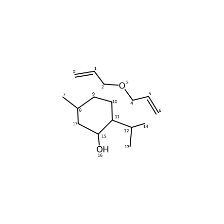 C=CCOCC=C.CC1CCC(C(C)C)C(O)C1